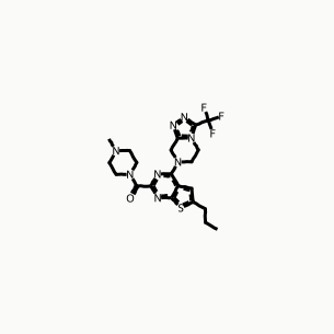 CCCc1cc2c(N3CCn4c(nnc4C(F)(F)F)C3)nc(C(=O)N3CCN(C)CC3)nc2s1